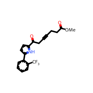 COC(=O)CCC#CCC(=O)c1ccc(-c2ccccc2C(F)(F)F)[nH]1